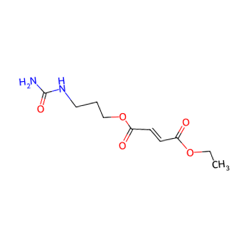 CCOC(=O)/C=C/C(=O)OCCCNC(N)=O